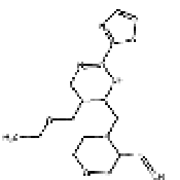 C=CC1COCCN1CC1NC(c2nccs2)=NCC1COCC